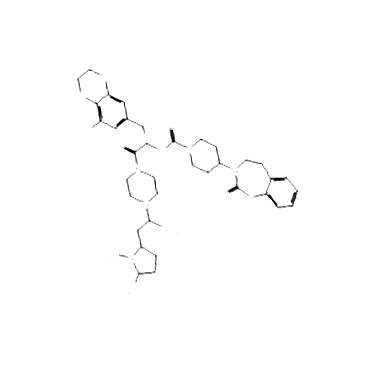 Cc1cc(C[C@@H](OC(=O)N2CCC(N3CCc4ccccc4NC3=O)CC2)C(=O)N2CCN(C(C)CC3CCC(C)N3C)CC2)cc2c1OCCO2